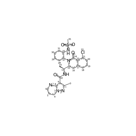 Cc1nn2cccnc2c1C(=O)N[C@@H](C)c1cc2cccc(Cl)c2c(=O)n1-c1ccccc1NS(C)(=O)=O